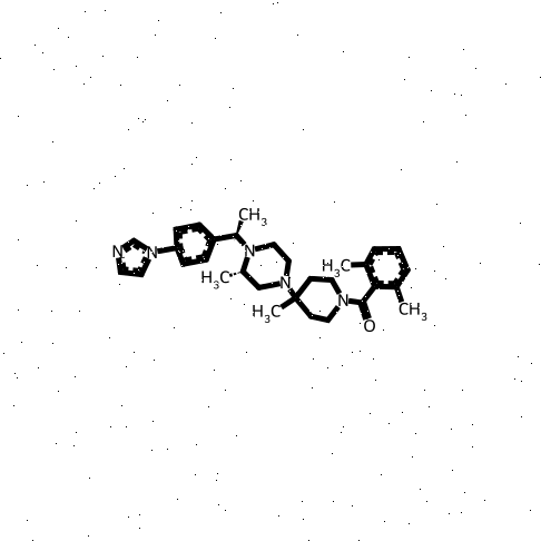 Cc1cccc(C)c1C(=O)N1CCC(C)(N2CCN([C@H](C)c3ccc(-n4ccnc4)cc3)[C@@H](C)C2)CC1